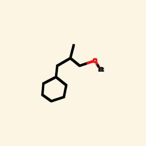 CCOCC(C)CC1CCCCC1